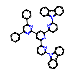 c1ccc(-c2cc(-c3ccccc3)nc(-c3cc(-c4cccc(-n5c6ccccc6c6ccccc65)n4)nc(-c4cccc(-n5c6ccccc6c6ccccc65)n4)c3)n2)cc1